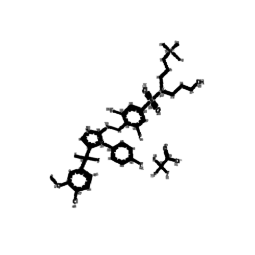 COc1cc(C(C)(C)c2cnc(SCc3c(F)cc(S(=O)(=O)N(CCCO)CCC[N+](C)(C)C)cc3F)n2-c2ccc(F)cc2)ccc1Cl.O=C([O-])C(F)(F)F